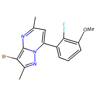 COc1cccc(-c2cc(C)nc3c(Br)c(C)nn23)c1F